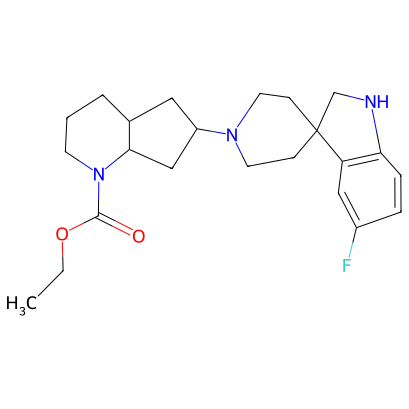 CCOC(=O)N1CCCC2CC(N3CCC4(CC3)CNc3ccc(F)cc34)CC21